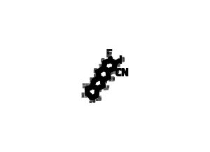 N#Cc1c(I)c(F)cc2cc3cc4ccccc4cc3cc12